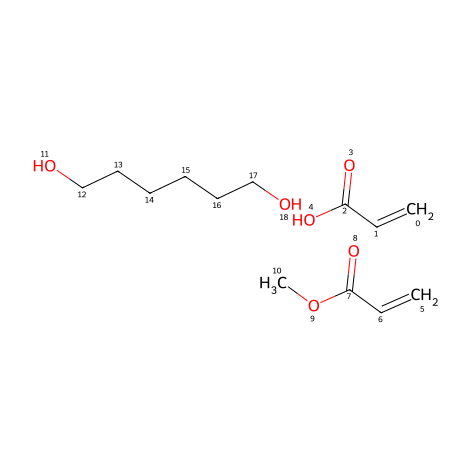 C=CC(=O)O.C=CC(=O)OC.OCCCCCCO